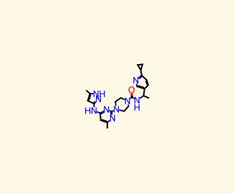 Cc1cc(Nc2cc(C)[nH]n2)nc(N2CCN(C(=O)NC(C)c3ccc(C4CC4)nc3)CC2)n1